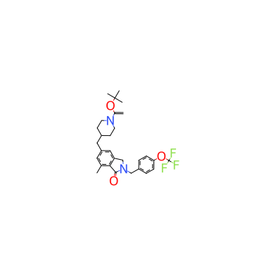 C=C(OC(C)(C)C)N1CCC(Cc2cc(C)c3c(c2)CN(Cc2ccc(OC(F)(F)F)cc2)C3=O)CC1